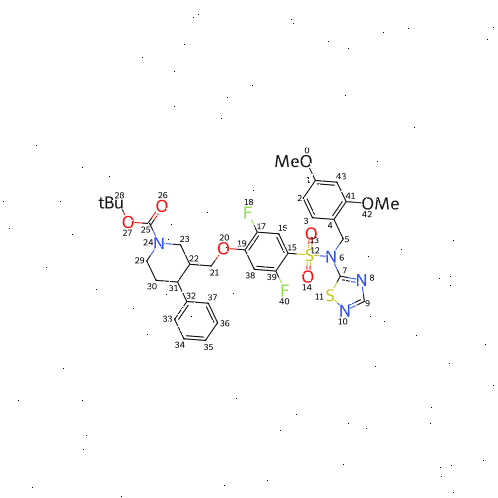 COc1ccc(CN(c2ncns2)S(=O)(=O)c2cc(F)c(OCC3CN(C(=O)OC(C)(C)C)CCC3c3ccccc3)cc2F)c(OC)c1